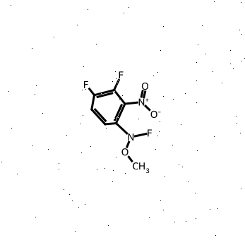 CON(F)c1ccc(F)c(F)c1[N+](=O)[O-]